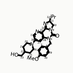 COc1ccc(CN2C(=O)N3CC(C(C)C)N=C3c3ncc(N4CCC(CO)CC4)cc32)cc1